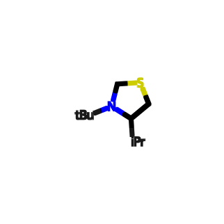 CC(C)C1CSCN1C(C)(C)C